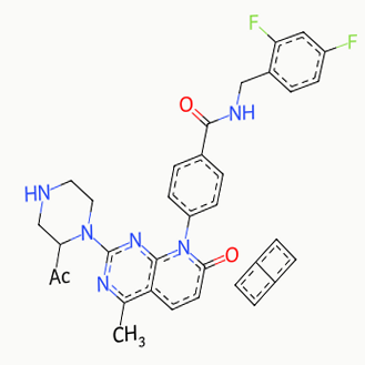 CC(=O)C1CNCCN1c1nc(C)c2ccc(=O)n(-c3ccc(C(=O)NCc4ccc(F)cc4F)cc3)c2n1.c1cc2ccc1-2